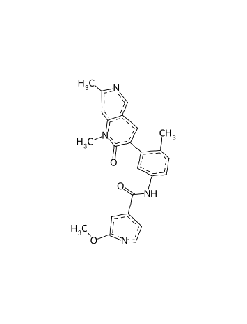 COc1cc(C(=O)Nc2ccc(C)c(-c3cc4cnc(C)cc4n(C)c3=O)c2)ccn1